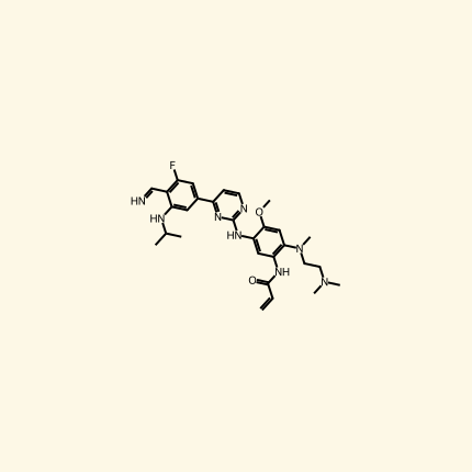 C=CC(=O)Nc1cc(Nc2nccc(-c3cc(F)c(C=N)c(NC(C)C)c3)n2)c(OC)cc1N(C)CCN(C)C